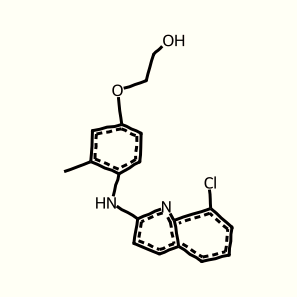 Cc1cc(OCCO)ccc1Nc1ccc2cccc(Cl)c2n1